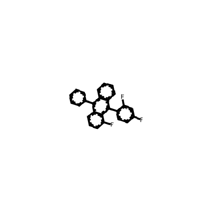 Fc1ccc(-c2c3ccccc3c(-c3ccccc3)c3cccc(F)c23)c(F)c1